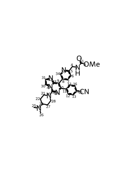 COC(=O)NCc1ccc(-c2c(-c3ccc(C#N)cc3)nc(N3CCC(N(C)C)CC3)n3ccnc23)cn1